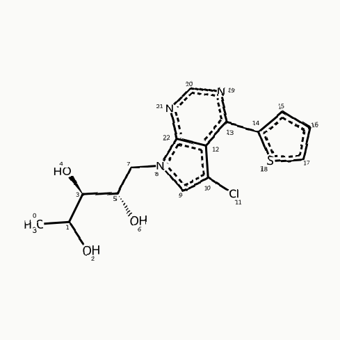 CC(O)[C@@H](O)[C@@H](O)Cn1cc(Cl)c2c(-c3cccs3)ncnc21